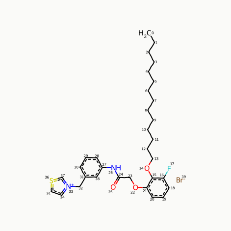 CCCCCCCCCCCCCCOc1c(F)cccc1OCC(=O)Nc1cccc(C[n+]2ccsc2)c1.[Br-]